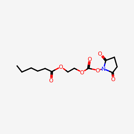 CCCCCC(=O)OCCOC(=O)ON1C(=O)CCC1=O